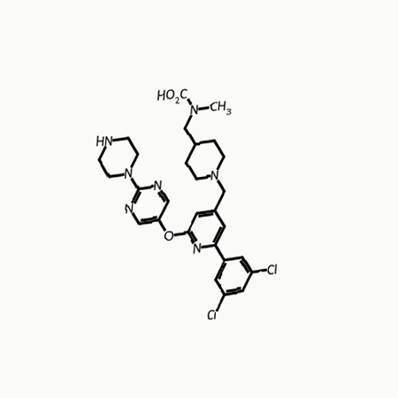 CN(CC1CCN(Cc2cc(Oc3cnc(N4CCNCC4)nc3)nc(-c3cc(Cl)cc(Cl)c3)c2)CC1)C(=O)O